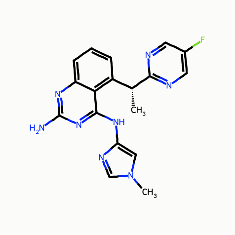 C[C@@H](c1ncc(F)cn1)c1cccc2nc(N)nc(Nc3cn(C)cn3)c12